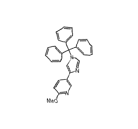 COc1ccc(-c2cn(C(c3ccccc3)(c3ccccc3)c3ccccc3)cn2)cn1